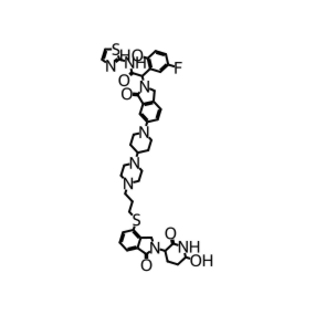 O=C1NC(O)CCC1N1Cc2c(SCCCN3CCN(C4CCN(c5ccc6c(c5)C(=O)N(C(C(=O)Nc5nccs5)c5cc(F)ccc5O)C6)CC4)CC3)cccc2C1=O